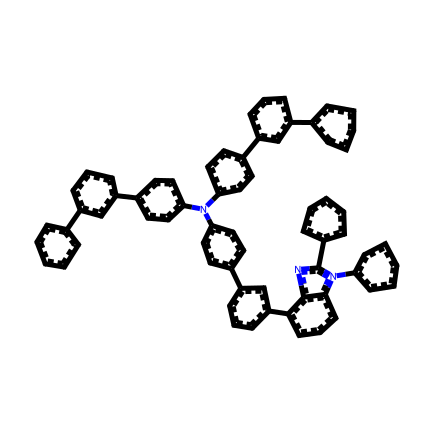 c1ccc(-c2cccc(-c3ccc(N(c4ccc(-c5cccc(-c6ccccc6)c5)cc4)c4ccc(-c5cccc(-c6cccc7c6nc(-c6ccccc6)n7-c6ccccc6)c5)cc4)cc3)c2)cc1